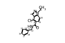 CCn1ncc2c(Cl)c(C(=O)NCc3ccccc3)ccc21